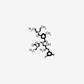 CCCN(CCC)C(=O)c1cc(C)cc(C(=O)N(C[C@@H]2CN(CC)C(=O)O2)C[C@@H](O)[C@@H](N)Cc2cc(F)cc(F)c2)c1